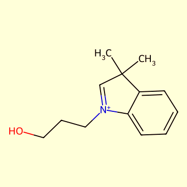 CC1(C)C=[N+](CCCO)c2ccccc21